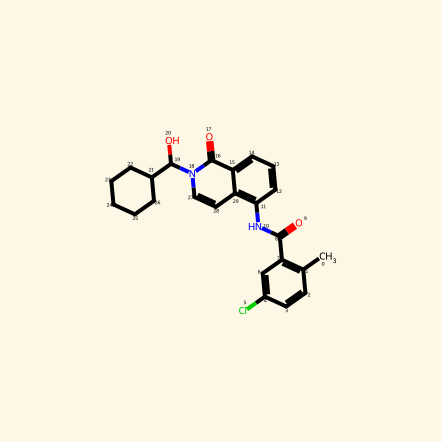 Cc1ccc(Cl)cc1C(=O)Nc1cccc2c(=O)n(C(O)C3CCCCC3)ccc12